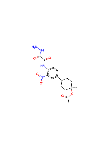 CC(=O)OC1(C)CCC(c2ccc(NC(=O)C(=O)NN)c([N+](=O)[O-])c2)CC1